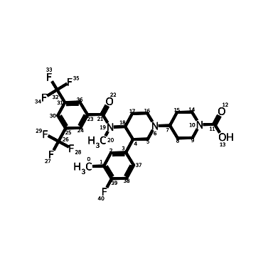 Cc1cc(C2CN(C3CCN(C(=O)O)CC3)CCC2N(C)C(=O)c2cc(C(F)(F)F)cc(C(F)(F)F)c2)ccc1F